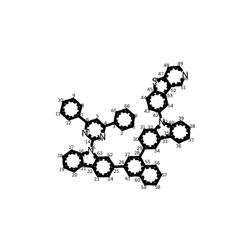 c1ccc(-c2cc(-c3ccccc3)nc(-n3c4ccccc4c4ccc(-c5cc(-c6ccc7c(c6)c6ccccc6n7-c6ccc7sc8ccncc8c7c6)c6ccccc6c5)cc43)n2)cc1